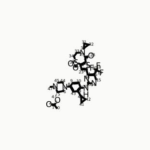 CC(=O)OC[C@H]1CN(c2ccc(Nc3ncc(C(F)(F)F)c(-c4cc5c(s4)C(=O)N(C4CC4)CCS5(=O)=O)n3)c(C3CC3)c2)CCN1C